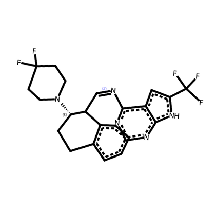 FC1(F)CCN([C@H]2CCc3ccccc3C2/C=N\c2ncnc3[nH]c(C(F)(F)F)cc23)CC1